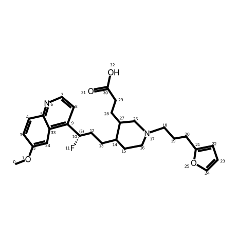 COc1ccc2nccc([C@@H](F)CCC3CCN(CCCc4ccco4)CC3CCC(=O)O)c2c1